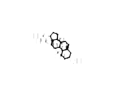 CC[C@]12CC[C@H](O)CC1=CC[C@@H]1[C@@H]2CC[C@]2(C)[C@@H](C)CC[C@@H]12